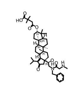 CNCC(=O)N(Cc1ccccc1)C[C@H](O)[C@@]12CC[C@]3(C)[C@H](CC[C@@H]4[C@@]5(C)CC[C@H](OC(=O)CC(C)(C)C(=O)O)C(C)(C)[C@@H]5CC[C@]43C)C1=C(C(C)C)C(=O)C2